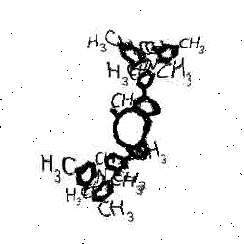 CCC1CCCc2c(-c3ccc(N(c4c(C)cc(C)cc4C)c4c(C)cc(C)cc4C)c(C)c3)ccc(c2C)/C=C\c2ccc(-c3ccc(N(c4c(C)cc(C)cc4C)c4c(C)cc(C)cc4C)c(C)c3)cc2C1